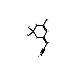 CC1=C/C(=C/C#N)CC(C)(C)C1